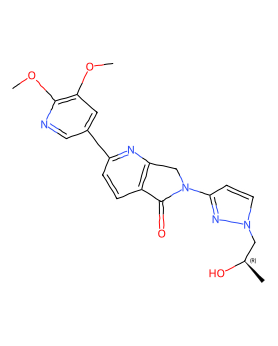 COc1cc(-c2ccc3c(n2)CN(c2ccn(C[C@@H](C)O)n2)C3=O)cnc1OC